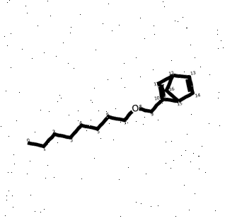 CCCCCCCCOCC1=CC2C=CC1C2